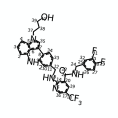 Nc1cccc2c1c(-c1ccc(CNc3ncc(C(F)(F)F)cc3C(=O)NCc3ccc(F)c(F)c3)cc1)cn2CCCO